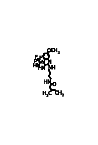 CCC(C)CC(=O)NCCCCNc1nc2cc(OC)ccc2n(C(=N)C(F)(F)F)c1=N